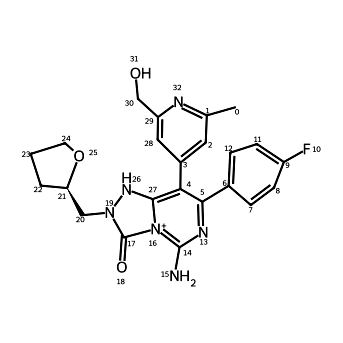 Cc1cc(-c2c(-c3ccc(F)cc3)nc(N)[n+]3c(=O)n(C[C@H]4CCCO4)[nH]c23)cc(CO)n1